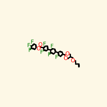 C=CCCOCC1COC(c2ccc(-c3cc(F)c(-c4cc(F)c(C(=O)Oc5cc(F)c(F)c(F)c5)c(F)c4)c(F)c3)c(F)c2)OC1